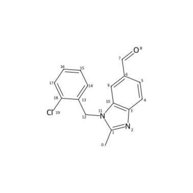 Cc1nc2ccc(C=O)cc2n1Cc1ccccc1Cl